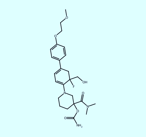 COCCOc1ccc(C2=CC=C(N3CCCC(OC(N)=O)(C(=O)N(C)C)C3)C(F)(CO)C2)cc1